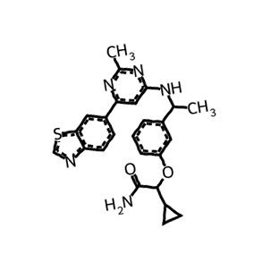 Cc1nc(NC(C)c2cccc(OC(C(N)=O)C3CC3)c2)cc(-c2ccc3ncsc3c2)n1